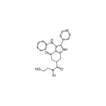 CCN(CCO)C(=O)C1CC(=O)c2c([nH]c(-c3ccncc3)c2Nc2ccccc2)C1